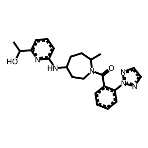 CC(O)c1cccc(NC2CCC(C)N(C(=O)c3ccccc3-n3nccn3)CC2)n1